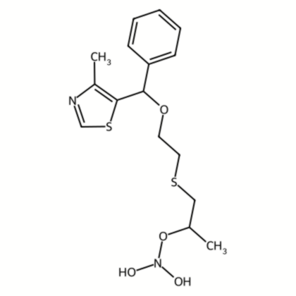 Cc1ncsc1C(OCCSCC(C)ON(O)O)c1ccccc1